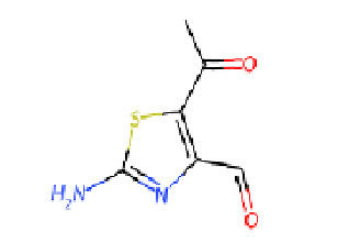 CC(=O)c1sc(N)nc1C=O